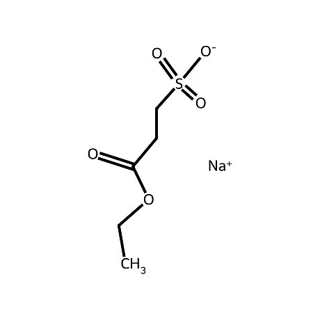 CCOC(=O)CCS(=O)(=O)[O-].[Na+]